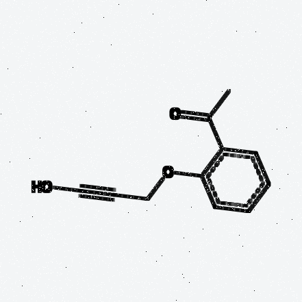 CC(=O)c1ccccc1OCC#CO